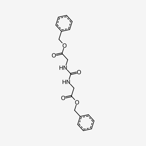 O=C(NCC(=O)OCc1ccccc1)NCC(=O)OCc1ccccc1